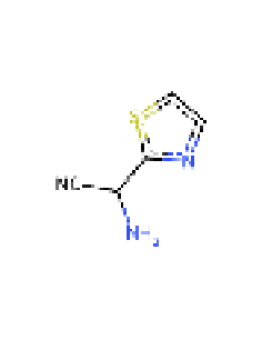 N#CC(N)c1nccs1